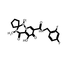 CCN1n2cc(C(=O)NCc3ccc(F)cc3F)c(=O)c(O)c2C(=O)N(C)C12CCCC2